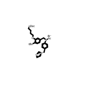 CCCCCCCCCCCCCCOc1cc(CN(C(C)=O)c2ccc(C[n+]3ccsc3)cc2)ccc1C(C)(C)C.[Br-]